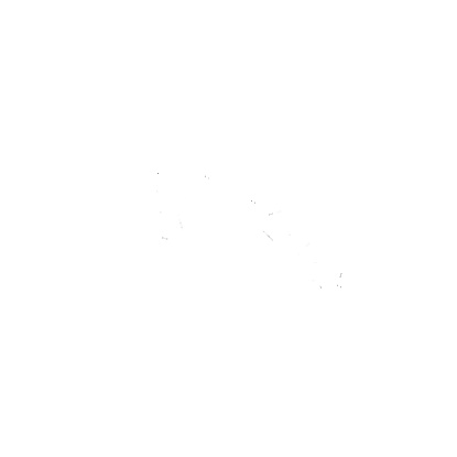 N#CC(c1ccccc1)(C1CCCC1)C1CCN(CC2CN(c3ccc(S(=O)(=O)c4ccncc4)cc3)C2)CC1